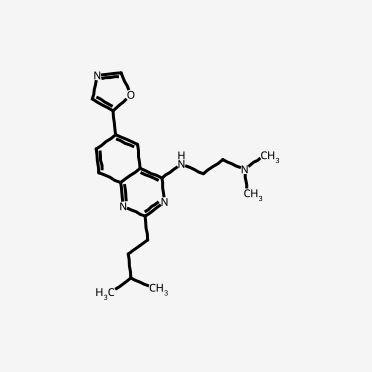 CC(C)CCc1nc(NCCN(C)C)c2cc(-c3cnco3)ccc2n1